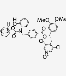 COc1ccc([C@H](Cc2c(Cl)c[n+]([O-])cc2Cl)OC(=O)c2ccc(CN(C(=O)O[C@H]3CN4CCC3CC4)c3ccccc3O)cc2)cc1OC